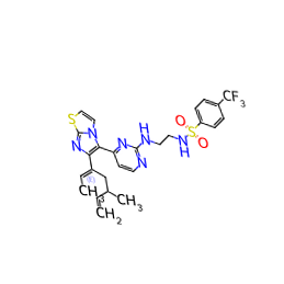 C=CC(C)C/C(=C\C)c1nc2sccn2c1-c1ccnc(NCCNS(=O)(=O)c2ccc(C(F)(F)F)cc2)n1